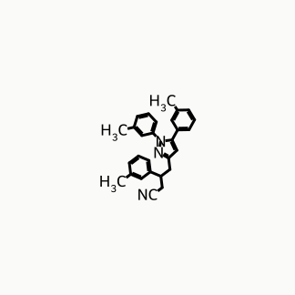 Cc1cccc(-c2cc(CC(CC#N)c3cccc(C)c3)nn2-c2cccc(C)c2)c1